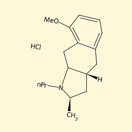 CCCN1C2Cc3c(cccc3OC)C[C@@H]2C[C@H]1C.Cl